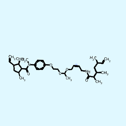 C=CC(C)CC(C)C(C)C(=O)NC/C=C\COC(C)OCCOc1ccc(N(C)C(=O)C2C(C)CC(C=C)C2C=O)cc1